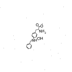 COC(=O)C(N)Cc1ccc(NCc2ccccc2)cc1.Cl